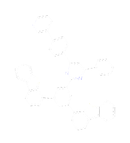 c1ccc(-c2cc(-c3ccc(-c4cccnc4)cc3)nc(-c3cc(-c4cccc5c4sc4ccccc45)cc(-c4cccc5c4sc4ccccc45)c3)n2)cc1